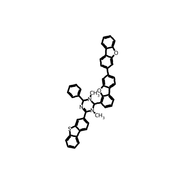 CN1C(c2ccc3c(c2)sc2ccccc23)=NC(c2ccccc2)N(C)C1c1cccc2c1oc1cc(-c3ccc4c(c3)oc3ccccc34)ccc12